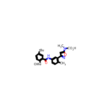 COc1ccc(C(C)(C)C)cc1C(=O)Nc1ccc(C)c(-c2cc(N(C)C(=O)O)on2)c1